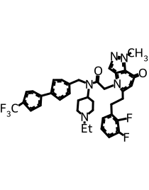 CCN1CCC(N(Cc2ccc(-c3ccc(C(F)(F)F)cc3)cc2)C(=O)Cn2c(CCc3cccc(F)c3F)cc(=O)c3c2cnn3C)CC1